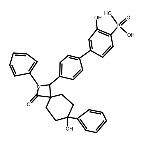 O=C1N(c2ccccc2)C(c2ccc(-c3ccc(P(=O)(O)O)c(O)c3)cc2)C12CCC(O)(c1ccccc1)CC2